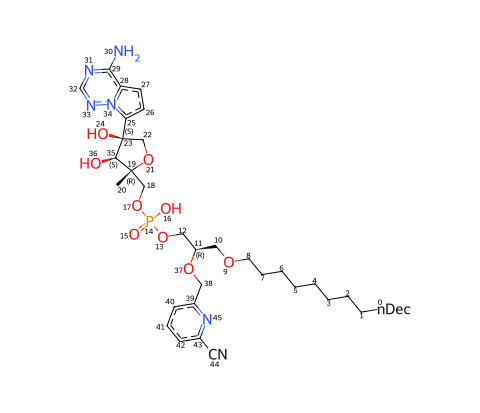 CCCCCCCCCCCCCCCCCCOC[C@H](COP(=O)(O)OC[C@@]1(C)OC[C@@](O)(c2ccc3c(N)ncnn23)[C@@H]1O)OCc1cccc(C#N)n1